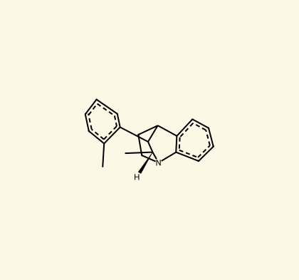 Cc1ccccc1C1C2CCN(c3ccccc32)[C@@H]1C